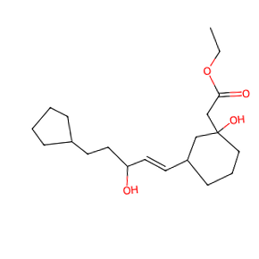 CCOC(=O)CC1(O)CCCC(C=CC(O)CCC2CCCC2)C1